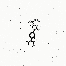 CN=c1oc2cc(N3C[C@H](C(N)=O)OC3=O)ccc2n1C(C)C